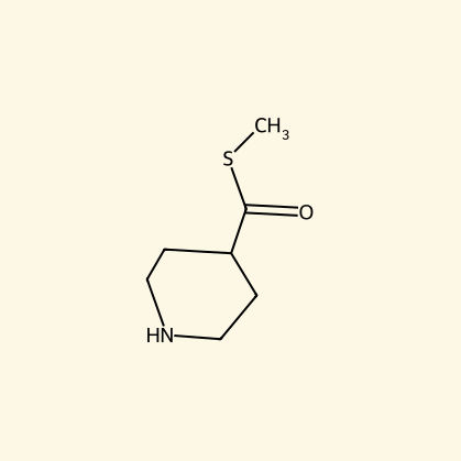 CSC(=O)C1CCNCC1